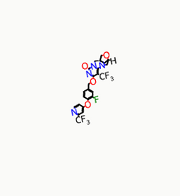 O=c1nc(OCc2ccc(Oc3ccnc(C(F)(F)F)c3)c(F)c2)c(C(F)(F)F)c2n1C[C@]13CO[C@H](CN21)C3